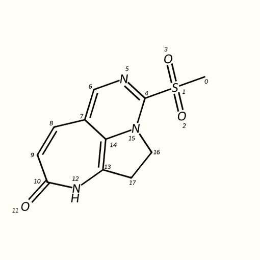 CS(=O)(=O)C1=NC=C2C=CC(=O)NC3=C2N1CC3